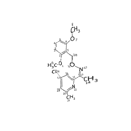 COc1cccc(OC)c1CON=C(C)c1cc(Cl)cc(C)n1